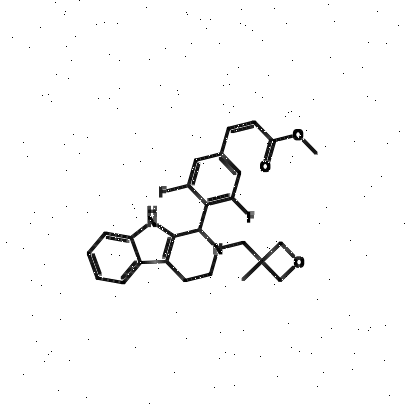 COC(=O)/C=C\c1cc(F)c(C2c3[nH]c4ccccc4c3CCN2CC2(C)COC2)c(F)c1